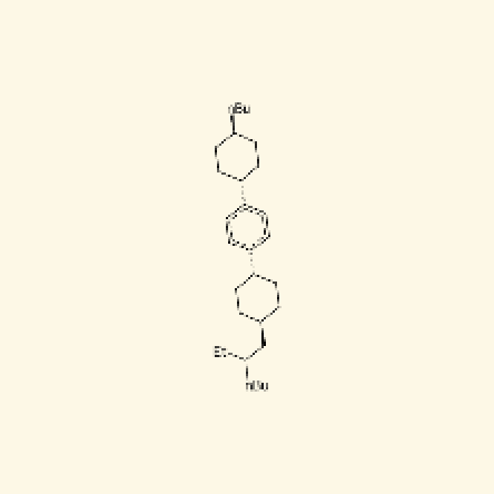 CCCCC(CC)C[C@H]1CC[C@H](c2ccc([C@H]3CC[C@H](CCCC)CC3)cc2)CC1